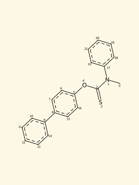 CN(C(=S)Oc1ccc(-c2ccccc2)cc1)c1ccccc1